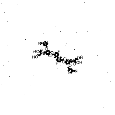 Cc1c(COc2cc(OCc3cncc(C#N)c3)c(CNC(CCO)C(=O)O)cc2Cl)cc(F)cc1-c1cc(F)cc(COc2cc(OCc3cncc(C#N)c3)c(CNC(CCO)C(=O)O)cc2Cl)c1C